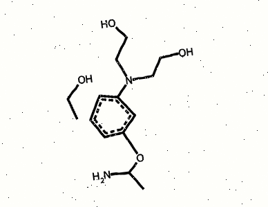 CC(N)Oc1cccc(N(CCO)CCO)c1.CCO